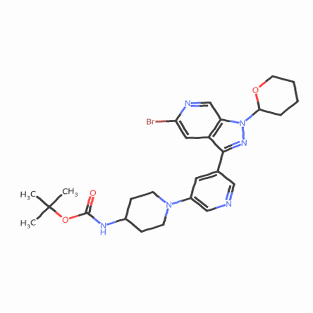 CC(C)(C)OC(=O)NC1CCN(c2cncc(-c3nn(C4CCCCO4)c4cnc(Br)cc34)c2)CC1